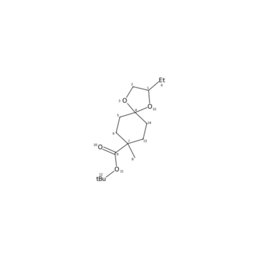 CCC1COC2(CCC(C)(C(=O)OC(C)(C)C)CC2)O1